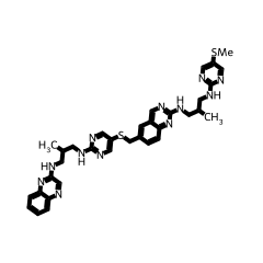 CSc1cnc(NCC(C)CNc2ncc3cc(CSc4cnc(NCC(C)CNc5cnc6ccccc6n5)nc4)ccc3n2)nc1